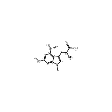 COc1cc([N+](=O)[O-])c2c(CC(N)C(=O)O)cn(C)c2c1